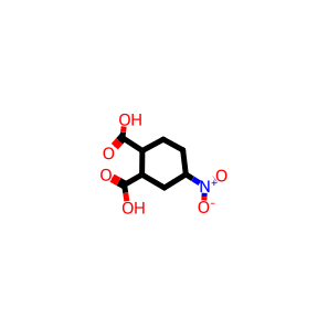 O=C(O)C1CCC([N+](=O)[O-])CC1C(=O)O